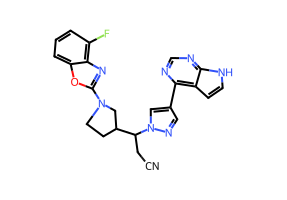 N#CCC(C1CCN(c2nc3c(F)cccc3o2)C1)n1cc(-c2ncnc3[nH]ccc23)cn1